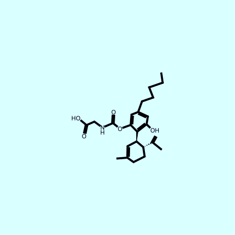 C=C(C)[C@@H]1CCC(C)=C[C@H]1c1c(O)cc(CCCCC)cc1OC(=O)NCC(=O)O